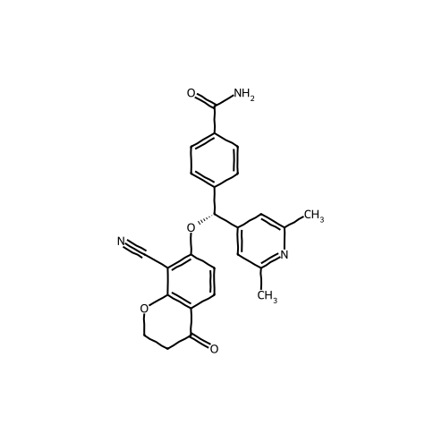 Cc1cc([C@H](Oc2ccc3c(c2C#N)OCCC3=O)c2ccc(C(N)=O)cc2)cc(C)n1